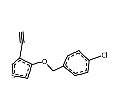 C#Cc1cscc1OCc1ccc(Cl)cc1